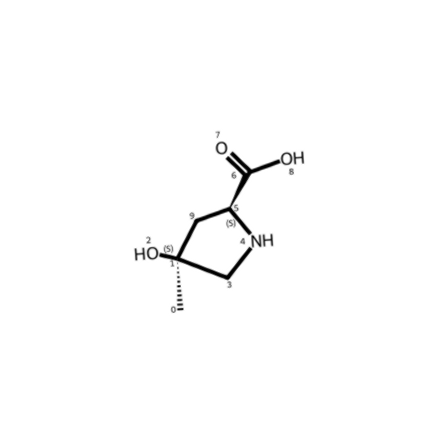 C[C@@]1(O)CN[C@H](C(=O)O)C1